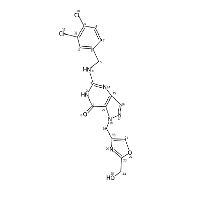 O=c1[nH]c(NCc2ccc(Cl)c(Cl)c2)nc2cnn(Cc3coc(CO)n3)c12